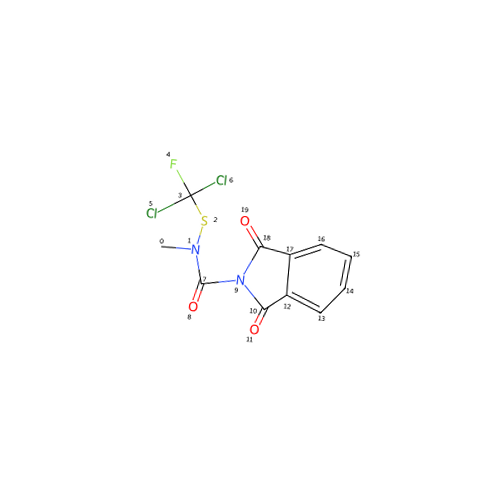 CN(SC(F)(Cl)Cl)C(=O)N1C(=O)c2ccccc2C1=O